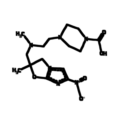 CN(CCN1CCN(C(=O)O)CC1)CC1(C)Cn2cc([N+](=O)[O-])nc2O1